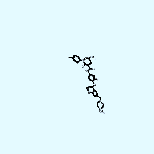 Cc1cc(C(=O)Nc2ccc(Oc3ccnc4cc(CN5CCN(C)CC5)sc34)c(F)c2)c(=O)n(-c2ccc(F)cc2)n1